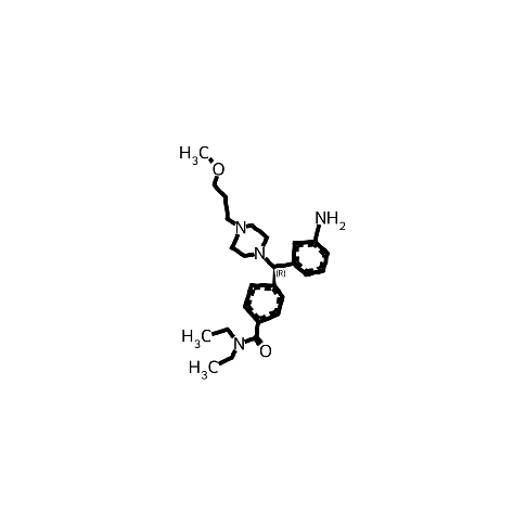 CCN(CC)C(=O)c1ccc([C@H](c2cccc(N)c2)N2CCN(CCCOC)CC2)cc1